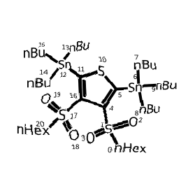 CCCCCCS(=O)(=O)c1[c]([Sn]([CH2]CCC)([CH2]CCC)[CH2]CCC)s[c]([Sn]([CH2]CCC)([CH2]CCC)[CH2]CCC)c1S(=O)(=O)CCCCCC